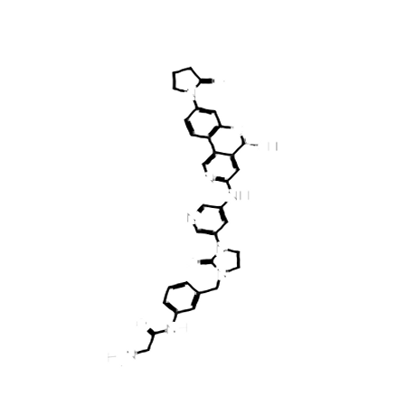 C[C@@H]1Oc2cc(N3CCCC3=O)ccc2-c2cnc(Nc3cncc(N4CCN(Cc5cccc(NC(=O)CN)c5)C4=O)c3)cc21